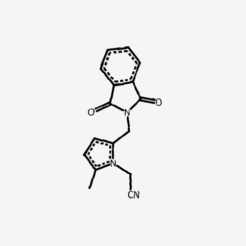 Cc1ccc(CN2C(=O)c3ccccc3C2=O)n1CC#N